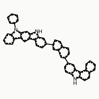 c1ccc(-n2c3ccccc3c3cc4c(cc32)[nH]c2cc(-c3ccc5ccc(-c6ccc7[nH]c8ccc9ccccc9c8c7c6)cc5c3)ccc24)cc1